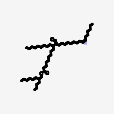 CCCCCC/C=C\CCCCCCCCN(C=O)C(CCCCCCCCC)CCCCCCCCC(=O)OCC(CCCC)CCCCCC